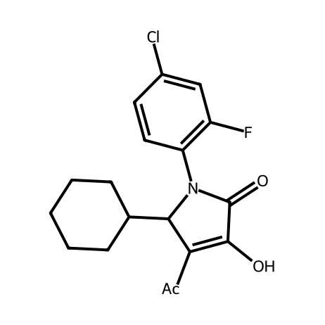 CC(=O)C1=C(O)C(=O)N(c2ccc(Cl)cc2F)C1C1CCCCC1